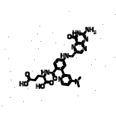 CN(C)c1ccnc(-c2cc(NCc3cnc4nc(N)[nH]c(=O)c4n3)ccc2C(=O)NC(CCC(=O)O)C(=O)O)c1